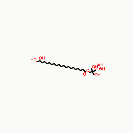 O=C(CCCCCCCCCCCCCCCCCCC(O)CO)OCC(CO)(CO)COP(O)O